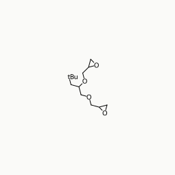 CC(C)(C)CC(COCC1CO1)OCC1CO1